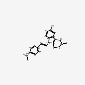 CN1CCc2c(c3cc(F)ccc3n2C=Cc2ccc(N(C)C)cc2)C1